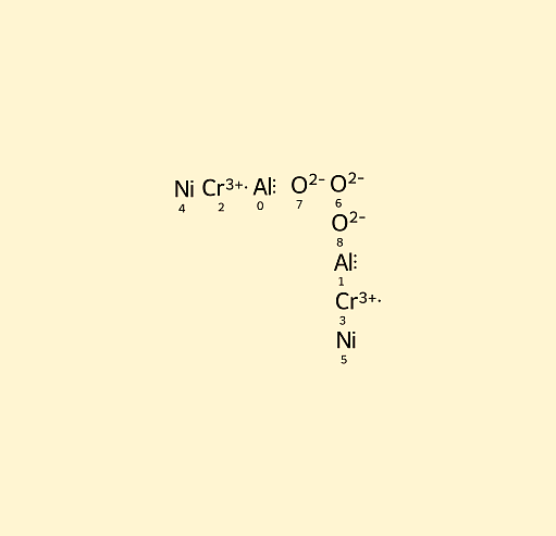 [Al].[Al].[Cr+3].[Cr+3].[Ni].[Ni].[O-2].[O-2].[O-2]